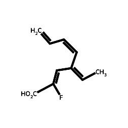 C=C\C=C/C(/C=C(\F)C(=O)O)=C\C